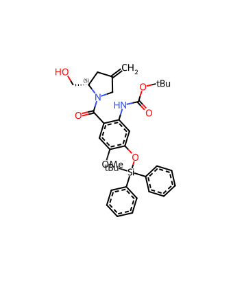 C=C1C[C@@H](CO)N(C(=O)c2cc(OC)c(O[Si](c3ccccc3)(c3ccccc3)C(C)(C)C)cc2NC(=O)OC(C)(C)C)C1